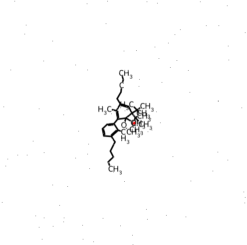 CCCCCC1=CC(C(C)(C)C)(C(C)(C)C)C(OC)(OC)C(c2cccc(CCCCC)c2C)=C1C